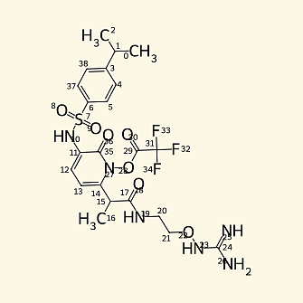 CC(C)c1ccc(S(=O)(=O)Nc2ccc(C(C)C(=O)NCCONC(=N)N)n(OC(=O)C(F)(F)F)c2=O)cc1